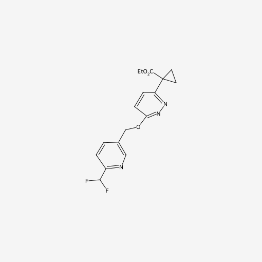 CCOC(=O)C1(c2ccc(OCc3ccc(C(F)F)nc3)nn2)CC1